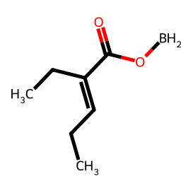 BOC(=O)C(=CCC)CC